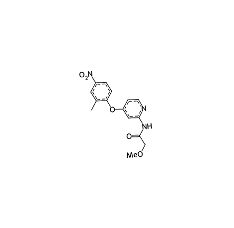 COCC(=O)Nc1cc(Oc2ccc([N+](=O)[O-])cc2C)ccn1